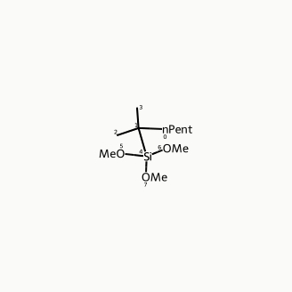 CCCCCC(C)(C)[Si](OC)(OC)OC